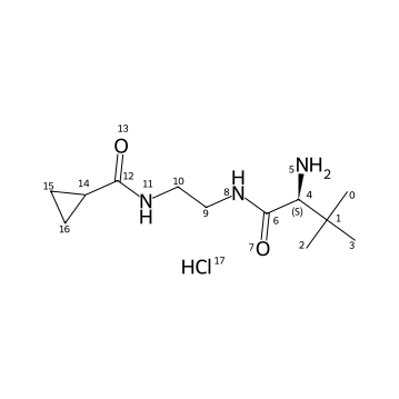 CC(C)(C)[C@H](N)C(=O)NCCNC(=O)C1CC1.Cl